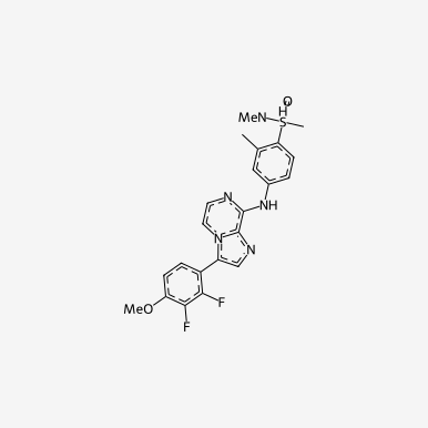 CN[SH](C)(=O)c1ccc(Nc2nccn3c(-c4ccc(OC)c(F)c4F)cnc23)cc1C